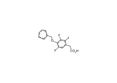 O=C(O)Cc1cc(F)c(OCc2ccccc2)c(F)c1I